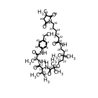 CCc1ccc(NC(=O)[C@H](C)NC(=O)[C@@H](NC(=O)C(C)(C)OCCC(C)(C)CCNC(=O)CCCCCN2C(=O)CC(C)C2=O)C(C)C)cc1